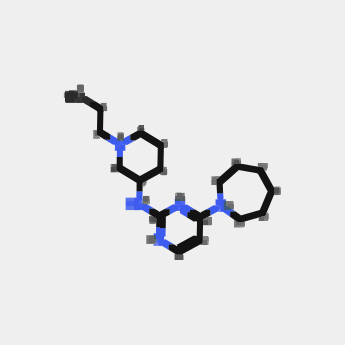 CC(C)(C)CCN1CCCC(Nc2nccc(N3CCCCCC3)n2)C1